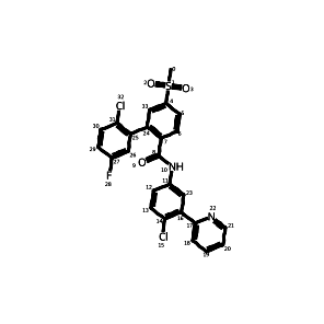 CS(=O)(=O)c1ccc(C(=O)Nc2ccc(Cl)c(-c3ccccn3)c2)c(-c2cc(F)ccc2Cl)c1